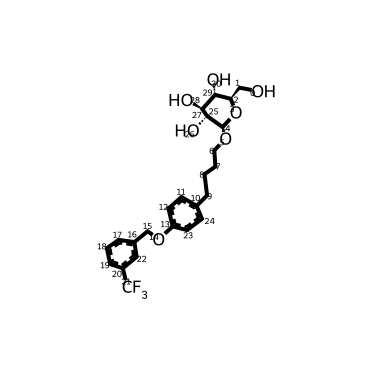 OC[C@H]1O[C@@H](OCCCCc2ccc(OCc3cccc(C(F)(F)F)c3)cc2)[C@H](O)[C@@H](O)[C@@H]1O